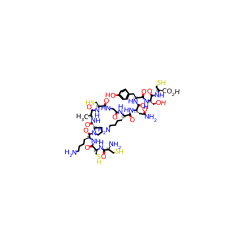 C[C@H](NC(=O)[C@@H]1CCCN1C(=O)[C@H](CCCCN)NC(=O)[C@H](CS)NC(=O)[C@@H](N)CS)C(=O)N[C@@H](CS)C(=O)NCC(=O)N[C@@H](CCCCN)C(=O)N[C@@H](CC(N)=O)C(=O)N[C@@H](Cc1ccc(O)cc1)C(=O)N[C@@H](CO)C(=O)N[C@@H](CS)C(=O)O